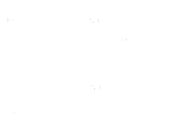 CC(C)(C)OC(=O)C[C@H](NC(=O)c1cccc(O)c1CCCc1cc(N)ccc1C(=O)O)C(=O)OC(C)(C)C